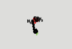 CO[SiH](OC)OC(C)CCCCCc1ccc(F)cc1